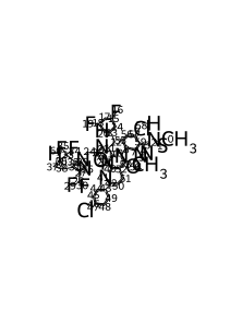 CSNc1nn(C)c2c(-n3c(C(Cc4cc(F)cc(F)c4)NC(=O)Cn4nc(C(F)F)c5c4C(F)(F)[C@@H]4CC54)nc4nc(-c5ccc(Cl)cc5)ccc4c3=O)ccc(Cl)c12